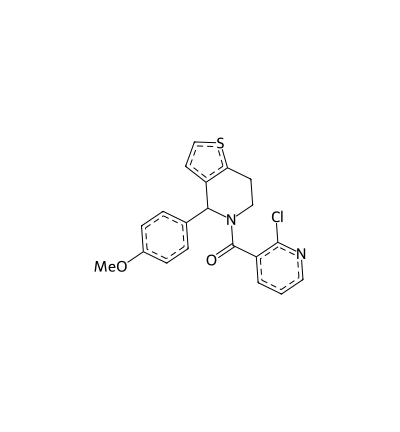 COc1ccc(C2c3ccsc3CCN2C(=O)c2cccnc2Cl)cc1